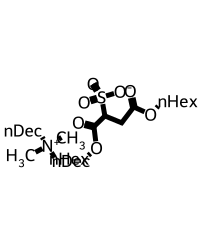 CCCCCCCCCC[N+](C)(C)CCCCCCCCCC.CCCCCCOC(=O)CC(C(=O)OCCCCCC)S(=O)(=O)[O-]